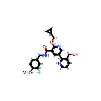 COc1ccc(CNC(=O)c2cc(-c3ncccc3CO)cnc2OCC2CC2)cc1F